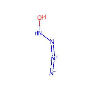 [N-]=[N+]=NNO